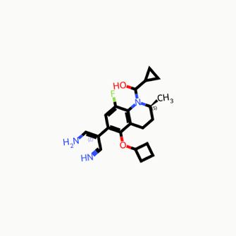 C[C@H]1CCc2c(OC3CCC3)c(/C(C=N)=C/N)cc(F)c2N1C(O)C1CC1